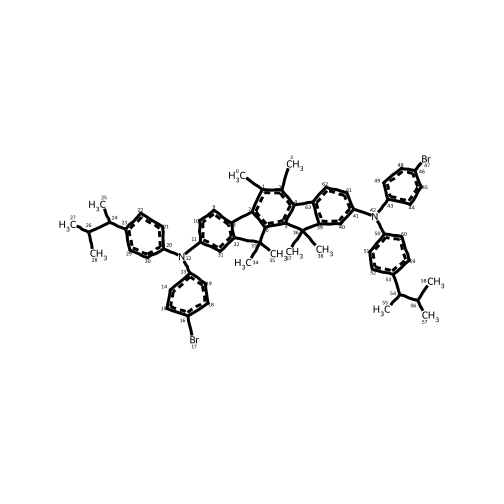 Cc1c(C)c2c(c3c1-c1ccc(N(c4ccc(Br)cc4)c4ccc(C(C)C(C)C)cc4)cc1C3(C)C)C(C)(C)c1cc(N(c3ccc(Br)cc3)c3ccc(C(C)C(C)C)cc3)ccc1-2